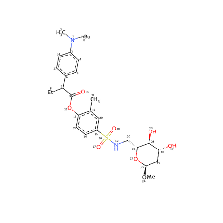 CCCCN(C)c1ccc(C(CC)C(=O)Oc2ccc(S(=O)(=O)NC[C@H]3O[C@H](OC)C[C@@H](O)[C@@H]3O)cc2C)cc1